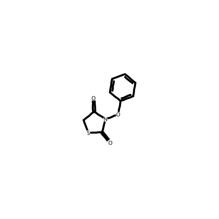 O=C1CSC(=O)N1Oc1ccccc1